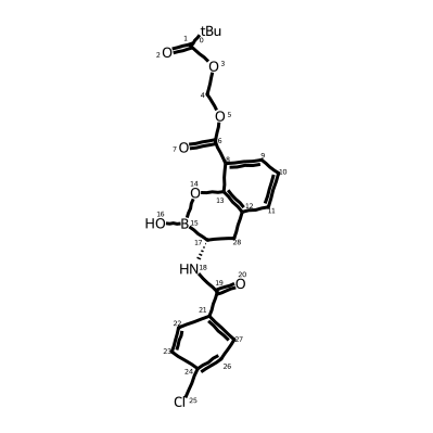 CC(C)(C)C(=O)OCOC(=O)c1cccc2c1OB(O)[C@@H](NC(=O)c1ccc(Cl)cc1)C2